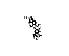 Cc1nc(NC(C)c2cccc(C(F)(F)CO)c2F)c2cc3c(cc2n1)N(C)C(=O)C31CC1